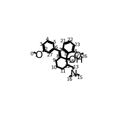 COc1cccc(C=C2CCCC(CN(C)C)C2(O)c2ccccc2OC)c1